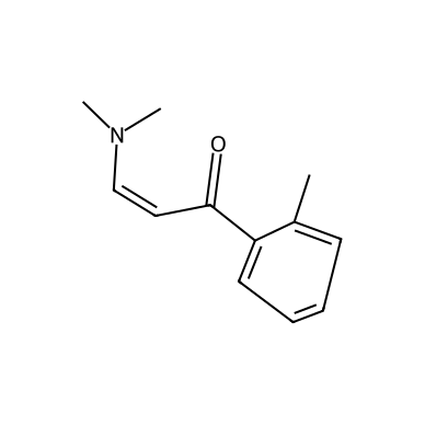 Cc1ccccc1C(=O)/C=C\N(C)C